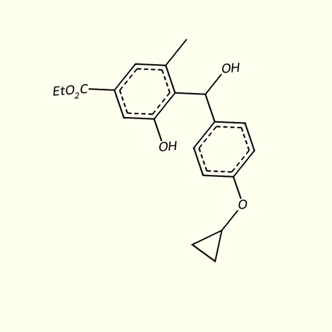 CCOC(=O)c1cc(C)c(C(O)c2ccc(OC3CC3)cc2)c(O)c1